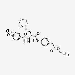 CCOC(=O)Cc1ccc(NC(=O)[C@H](COC2CCCCO2)NS(=O)(=O)c2ccc(OC)cc2)cc1